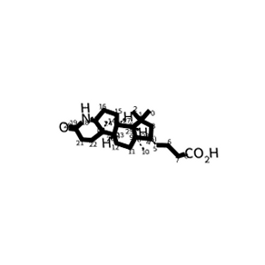 CC1(C)C[C@H](CCCC(=O)O)[C@@]2(C)CC[C@H]3[C@@H](CCC4NC(=O)CC[C@@]43C)[C@H]12